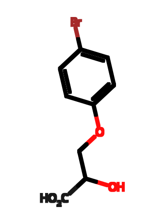 O=C(O)C(O)COc1ccc(Br)cc1